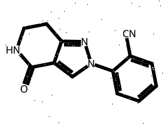 N#Cc1ccccc1-n1cc2c(n1)CCNC2=O